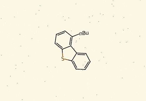 CCCCc1cccc2sc3ccccc3c12